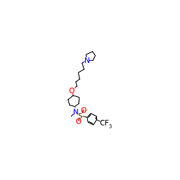 CN([C@H]1CC[C@H](OCCCCCCN2CCCC2)CC1)S(=O)(=O)c1ccc(C(F)(F)F)cc1